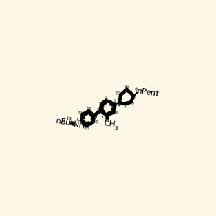 CCCCC[C@H]1CC[C@H](c2ccc(-c3ccc(NCCCC)cc3)c(C)c2)CC1